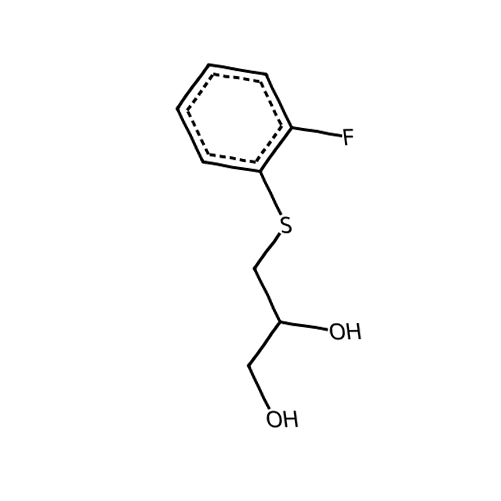 OCC(O)CSc1ccccc1F